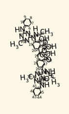 Cc1nc(Nc2ccccc2)nc(N(NC(C)O)c2ccc(C=Cc3ccc(N(NC(C)O)c4nc(C)nc(Nc5ccccc5)n4)cc3S(=O)(=O)O)c(S(=O)(=O)O)c2)n1